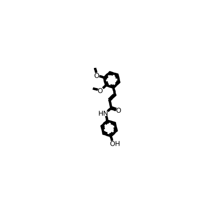 COc1cccc(C=CC(=O)Nc2ccc(O)cc2)c1OC